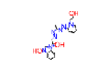 CC(N=NCC(O)[n+]1cn(O)c2ccccc21)=NN=c1ccccn1CCO